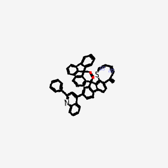 C=C1/C=C\C=C/Sc2c1ccc1c2C2(c3cc(-c4cc(-c5ccccc5)nc5ccccc45)ccc3-1)c1ccccc1C1(c3ccccc3-c3ccccc31)c1ccccc12